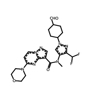 CN(C(=O)c1cnn2ccc(N3CCOCC3)nc12)c1cn(C2CCC(C=O)CC2)nc1C(F)F